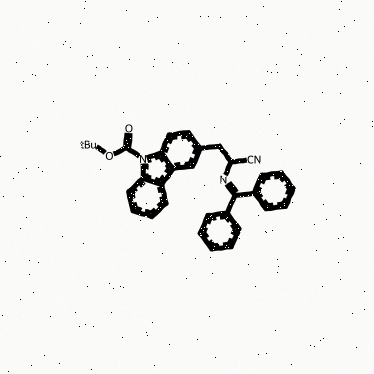 CC(C)(C)OC(=O)n1c2ccccc2c2cc(CC(C#N)N=C(c3ccccc3)c3ccccc3)ccc21